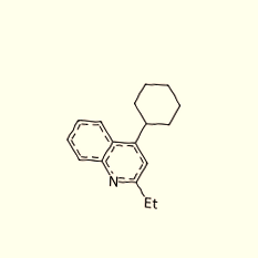 CCc1cc(C2CCCCC2)c2ccccc2n1